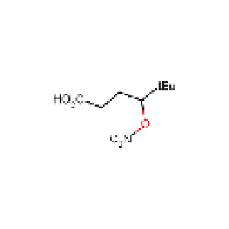 CC(C)(C)C(CCC(=O)O)O[N+](=O)[O-]